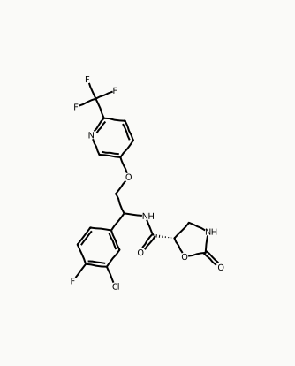 O=C1NC[C@@H](C(=O)NC(COc2ccc(C(F)(F)F)nc2)c2ccc(F)c(Cl)c2)O1